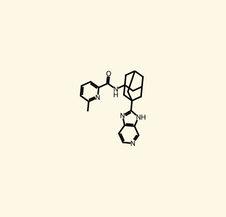 Cc1cccc(C(=O)NC23CC4CC(C2)CC(c2nc5ccncc5[nH]2)(C4)C3)n1